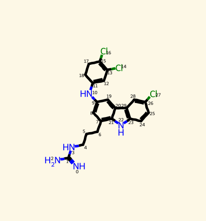 N=C(N)NCCCc1cc(NC2=CC(Cl)=C(Cl)CC2)cc2c1[nH]c1ccc(Cl)cc12